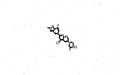 C[C@H]1CN(c2cnc3nc(-c4cc(F)c5nn(C)cc5c4)cc(Cl)c3c2)CCN1